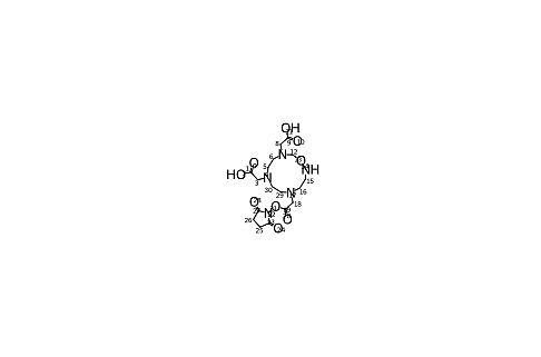 O=C(O)CN1CCN(CC(=O)O)CONCCN(CC(=O)ON2C(=O)CCC2=O)CC1